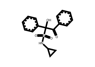 O=C(c1ccccc1)C(O)(c1ccccc1)S(=O)(=O)NC1CC1